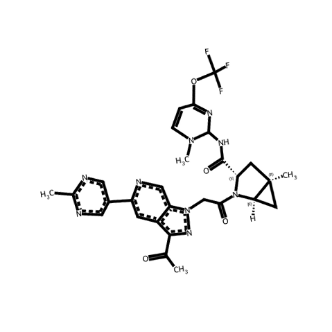 CC(=O)c1nn(CC(=O)N2[C@H](C(=O)NC3N=C(OC(F)(F)F)C=CN3C)C[C@@]3(C)C[C@@H]23)c2cnc(-c3cnc(C)nc3)cc12